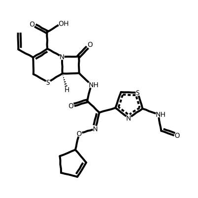 C=CC1=C(C(=O)O)N2C(=O)C(NC(=O)/C(=N\OC3C=CCC3)c3csc(NC=O)n3)[C@H]2SC1